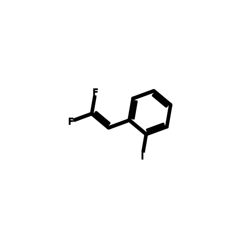 FC(F)=Cc1ccccc1I